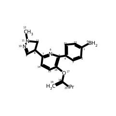 Bc1ccc(-c2nc(C3C=NN(C)C3)ccc2OC(=C)C(C)C)cc1